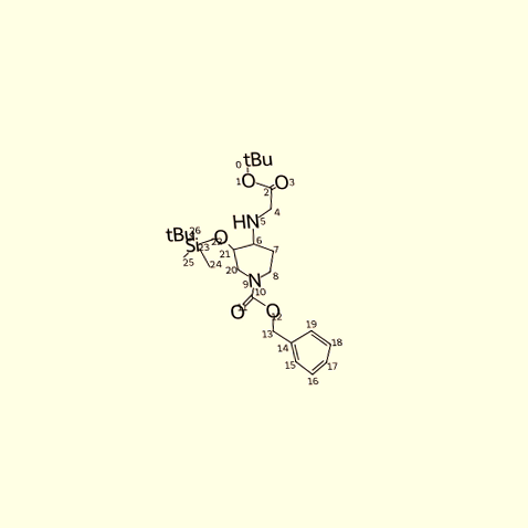 CC(C)(C)OC(=O)CNC1CCN(C(=O)OCc2ccccc2)CC1O[Si](C)(C)C(C)(C)C